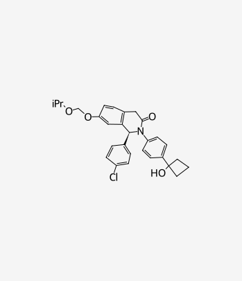 CC(C)OCOc1ccc2c(c1)[C@H](c1ccc(Cl)cc1)N(c1ccc(C3(O)CCC3)cc1)C(=O)C2